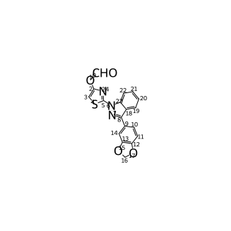 O=COc1csc(-n2nc(-c3ccc4c(c3)OCO4)c3ccccc32)n1